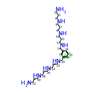 Cl.NCCCNCCCNCCCNCc1cccc(CNCCCNCCCNCCCN)c1